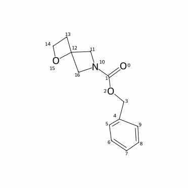 O=C(OCc1ccccc1)N1CC2(CCO2)C1